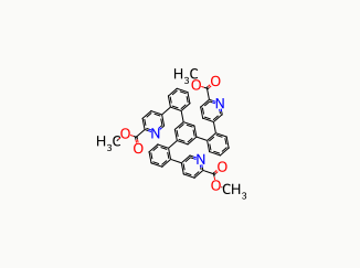 COC(=O)c1ccc(-c2ccccc2-c2cc(-c3ccccc3-c3ccc(C(=O)OC)nc3)cc(-c3ccccc3-c3ccc(C(=O)OC)nc3)c2)cn1